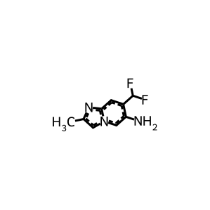 Cc1cn2cc(N)c(C(F)F)cc2n1